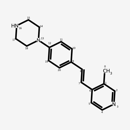 Cc1cnccc1/C=C/c1ccc(N2CCNCC2)cc1